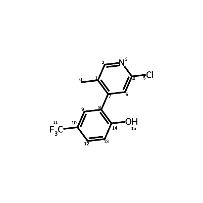 Cc1cnc(Cl)cc1-c1cc(C(F)(F)F)ccc1O